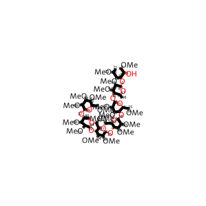 COCC(O)[C@@H](O[C@H]1CC(OC)[C@H](O[C@@H]2OC(COC)[C@@H](O[C@H]3OC(COC)[C@@H](O[C@@H]4OC(COC)[C@@H](O[C@@H]5OC=C(O[C@@H]6OC(COC)[C@@H](OC)C(OC)C6OC)C(OC)C5OC)C(OC)C4OC)C(OC)C3OC)C(OC)C2OC)C(C)O1)C(OC)C(C)OC